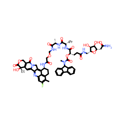 CC[C@@]1(O)C(=O)OCc2c1cc1n(c2=O)Cc2c-1nc1cc(F)c(C)c3c1c2[C@@H](NC(=O)COCNC(=O)[C@H](C)NC(=O)[C@@H](NC(=O)[C@H](CCC(=O)NC[C@H]1O[C@@H](CC(N)=O)[C@H](O)[C@@H]1O)OC(=O)N(C)C1c2ccccc2-c2ccccc21)C(C)C)CC3